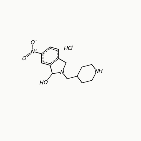 Cl.O=[N+]([O-])c1ccc2c(c1)C(O)N(CC1CCNCC1)C2